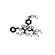 COc1ccc(S(=O)(=O)N(CC(=O)N(C)C)C(C(=O)OCc2ccccc2)C(C)C)cc1